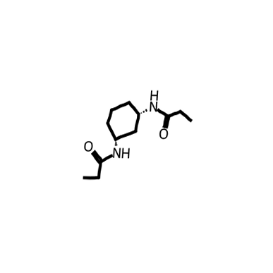 CCC(=O)N[C@@H]1CCC[C@H](NC(=O)CC)C1